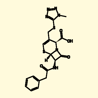 Cn1nnnc1SCC1=CS[C@H]2[C@H](NC(=O)Cc3ccccc3)C(=O)N2[C@H]1C(=O)O